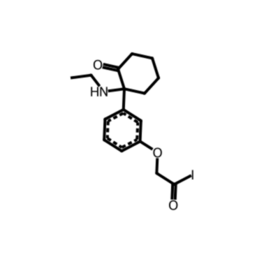 CCNC1(c2cccc(OCC(=O)I)c2)CCCCC1=O